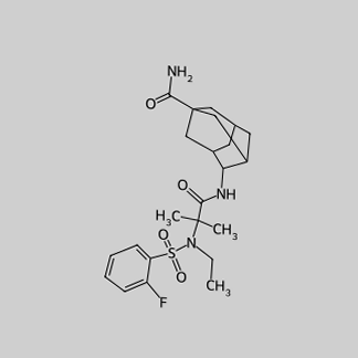 CCN(C(C)(C)C(=O)NC1C2CC3CC1CC(C(N)=O)(C3)C2)S(=O)(=O)c1ccccc1F